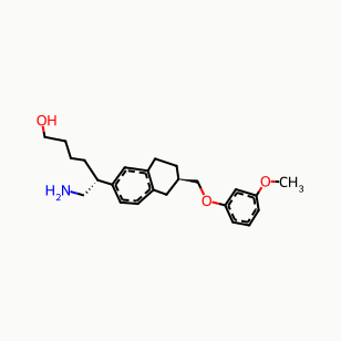 COc1cccc(OC[C@@H]2CCc3cc([C@H](CN)CCCCO)ccc3C2)c1